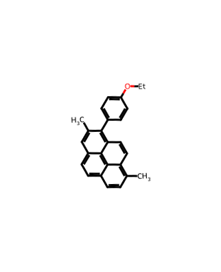 CCOc1ccc(-c2c(C)cc3ccc4ccc(C)c5ccc2c3c45)cc1